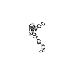 c1ccc(-c2ccc(-c3nc(-n4c5ccccc5c5c6ccc(-c7ccc(-c8ccc9sc%10ccccc%10c9c8)cc7)cc6ccc54)nc4ccccc34)cc2)cc1